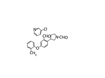 Cc1ccccc1Oc1ccc(C2CCN(C=O)C2)c(C=O)c1.Clc1cccnc1